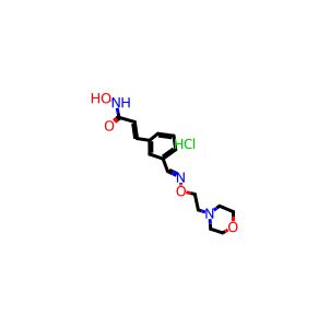 Cl.O=C(/C=C/c1cccc(/C=N/OCCN2CCOCC2)c1)NO